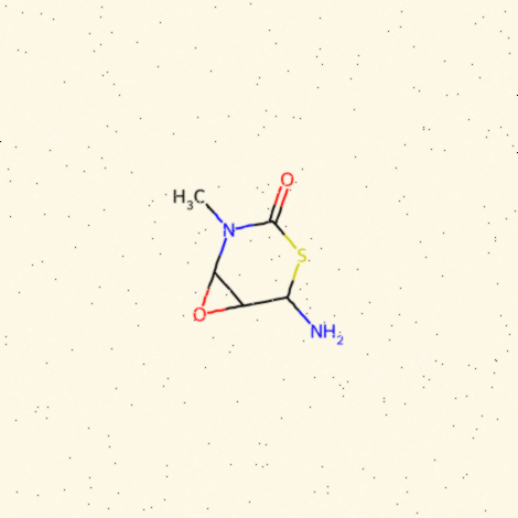 CN1C(=O)SC(N)C2OC21